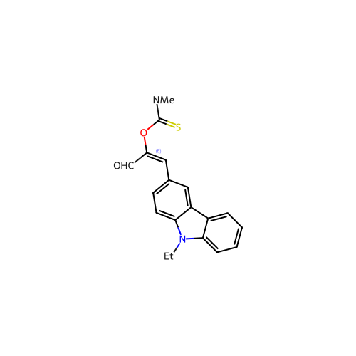 CCn1c2ccccc2c2cc(/C=C(\C=O)OC(=S)NC)ccc21